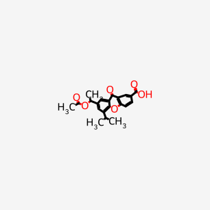 CC(=O)OC(C)c1cc(C(C)C)c2oc3ccc(C(=O)O)cc3c(=O)c2c1